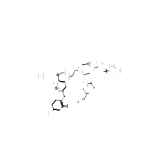 COCC1CN(C[C@H]2CN(C(=O)OC(C)(C)C)[C@H](C)CN2CC(=O)N2CC(C)(C)c3nnc(Cc4ccc(F)cc4F)cc32)C(=O)CO1